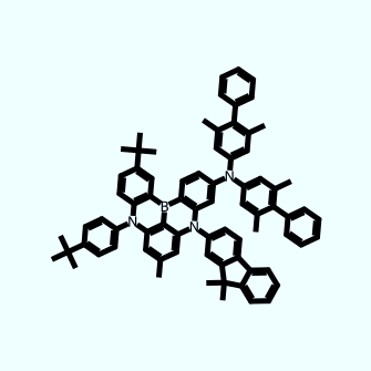 Cc1cc2c3c(c1)N(c1ccc4c(c1)C(C)(C)c1ccccc1-4)c1cc(N(c4cc(C)c(-c5ccccc5)c(C)c4)c4cc(C)c(-c5ccccc5)c(C)c4)ccc1B3c1cc(C(C)(C)C)ccc1N2c1ccc(C(C)(C)C)cc1